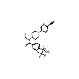 CCN(C(=O)c1ccc([C@](C)(O)C(F)(F)F)cc1)[C@H]1CC[C@H](c2ccc(C#N)nc2)CC1